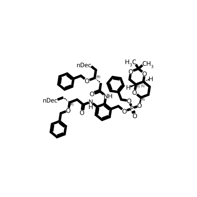 CCCCCCCCCCC[C@H](CC(=O)Nc1cccc(COP(=O)(OCc2ccccc2)O[C@@H]2CC[C@@H]3OC(C)(C)OC[C@H]3O2)c1NC(=O)C[C@@H](CCCCCCCCCCC)OCc1ccccc1)OCc1ccccc1